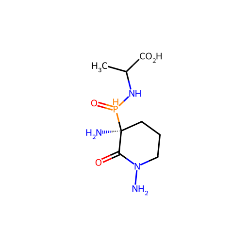 CC(N[PH](=O)[C@@]1(N)CCCN(N)C1=O)C(=O)O